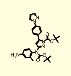 Cc1cc(N)ccc1N(C(=O)OC(C)(C)C)c1cc(-c2ccc(-n3cccn3)cc2)n(C(=O)OC(C)(C)C)n1